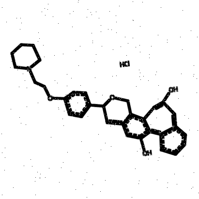 Cl.OC1=Cc2c3c(cc(O)c2=c2ccccc2=C1)=CC(c1ccc(OCCN2CCCCC2)cc1)OC3